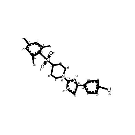 Cc1cc(C)c(S(=O)(=O)C2CCN(c3nc(-c4ccc(Cl)cc4)cs3)CC2)c(C)c1